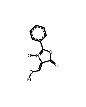 CCOC=C1C(=O)OC(c2ccccc2)=[N+]1[O-]